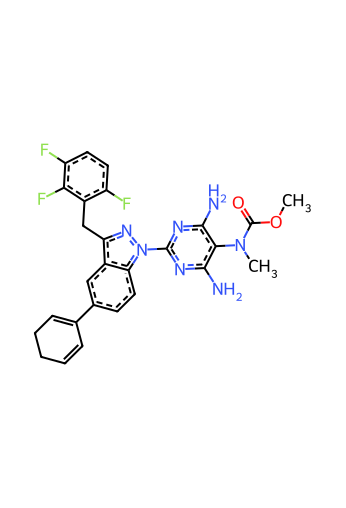 COC(=O)N(C)c1c(N)nc(-n2nc(Cc3c(F)ccc(F)c3F)c3cc(C4=CCCC=C4)ccc32)nc1N